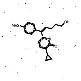 CSc1ccc(/C(=C/CCCO)c2ccc(C3CC3)c(=O)[nH]2)cc1